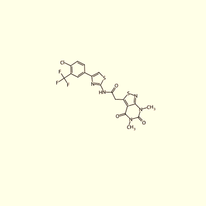 Cn1c(=O)c2c(CC(=O)Nc3nc(-c4ccc(Cl)c(C(F)(F)F)c4)cs3)snc2n(C)c1=O